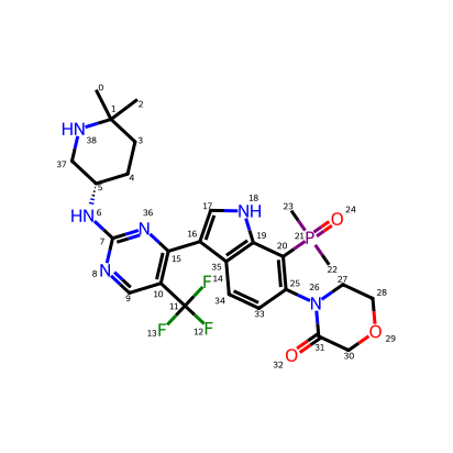 CC1(C)CC[C@H](Nc2ncc(C(F)(F)F)c(-c3c[nH]c4c(P(C)(C)=O)c(N5CCOCC5=O)ccc34)n2)CN1